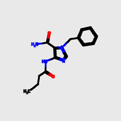 CCCC(=O)Nc1ncn(Cc2ccccc2)c1C(N)=O